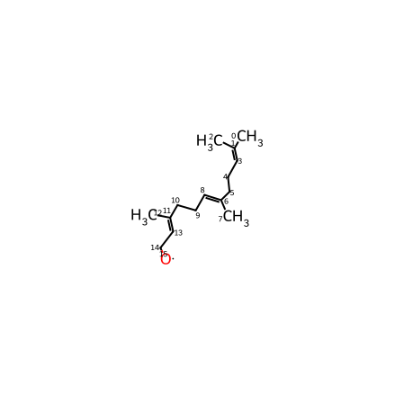 CC(C)=CCCC(C)=CCCC(C)=CC[O]